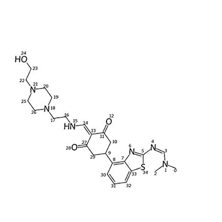 CN(C)/C=N\c1nc2c(C3CC(=O)C(=CNCCN4CCN(CCO)CC4)C(=O)C3)cccc2s1